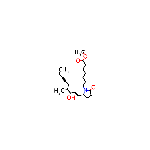 CCC#CC[C@H](C)[C@@H](O)/C=C/C1CCC(=O)N1CCCCCCC(=O)OC